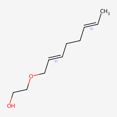 C/C=C/CC/C=C/COCCO